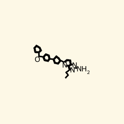 CCCc1nc(N)nc2ccc(-c3ccc(-c4ccc(C(=O)c5ccccc5)cc4)cc3)nc12